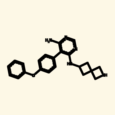 Nc1ncnc(NC2CC3(CNC3)C2)c1-c1ccc(Oc2ccccc2)cc1